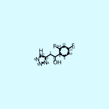 OC(Cc1nnn[nH]1)c1ccc(F)cc1F